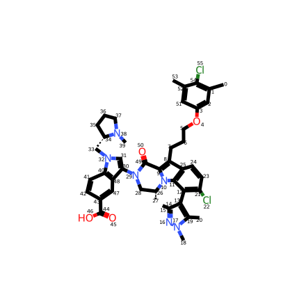 Cc1cc(OCCCc2c3n(c4c(-c5c(C)nn(C)c5C)c(Cl)ccc24)[C@H](C)CN(c2cn(C[C@@H]4CCCN4C)c4ccc(C(=O)O)cc24)C3=O)cc(C)c1Cl